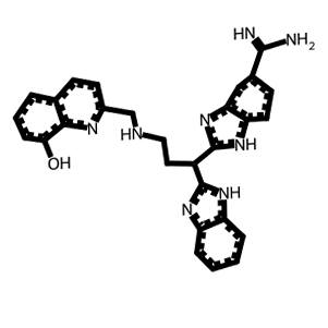 N=C(N)c1ccc2[nH]c(C(CCNCc3ccc4cccc(O)c4n3)c3nc4ccccc4[nH]3)nc2c1